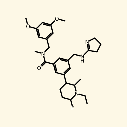 CCN1C(F)CCC(c2cc(CNC3=NCCC3)cc(C(=O)N(C)Cc3cc(OC)cc(OC)c3)c2)C1C